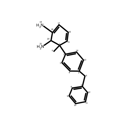 CC1(c2ccc(Cc3ccccc3)cc2)C=CC=C(N)C1N